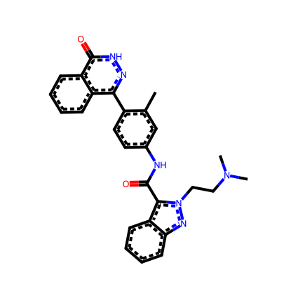 Cc1cc(NC(=O)c2c3ccccc3nn2CCN(C)C)ccc1-c1n[nH]c(=O)c2ccccc12